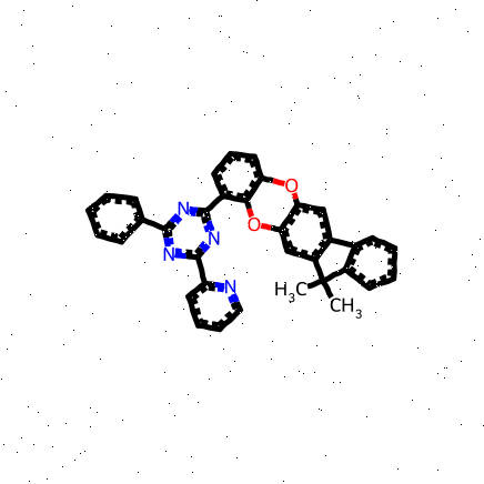 CC1(C)c2ccccc2-c2cc3c(cc21)Oc1c(cccc1-c1nc(-c2ccccc2)nc(-c2ccccn2)n1)O3